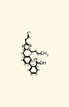 CCCCn1nc(CC=S)nc1Cc1ccc(-c2ccccc2C(=O)O)cc1